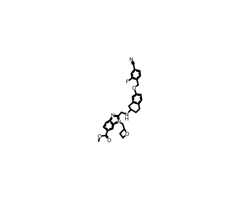 COC(=O)c1ccc2nc(CNC3CCc4ccc(OCc5ccc(C#N)cc5F)cc4C3)n(CC3CCO3)c2c1